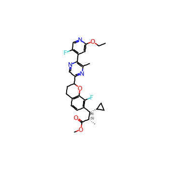 CCOc1cc(-c2ncc(C3CCc4ccc([C@H](C5CC5)[C@H](C)C(=O)OC)c(F)c4O3)nc2C)c(F)cn1